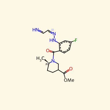 COC(=O)C1CC[C@@H](C)N(C(=O)c2ccc(F)cc2N/N=C\C=N)C1